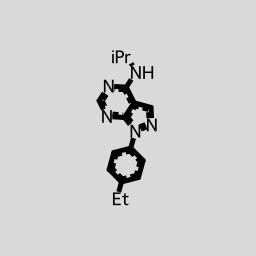 CCc1ccc(-n2ncc3c(NC(C)C)ncnc32)cc1